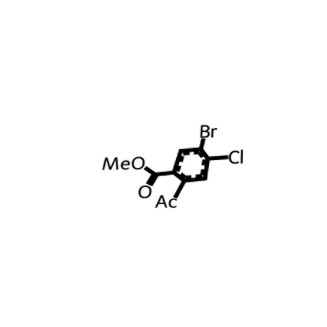 COC(=O)c1cc(Br)c(Cl)cc1C(C)=O